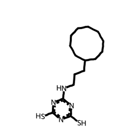 Sc1nc(S)nc(NCCCC2CCCCCCCCC2)n1